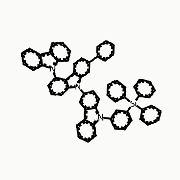 c1ccc(-c2ccc3c4c(-n5c6ccccc6c6ccccc65)cccc4n(-c4ccc5c(c4)c4ccccc4n5-c4cccc([Si](c5ccccc5)(c5ccccc5)c5ccccc5)c4)c3c2)cc1